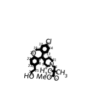 COC(=O)C(C)(C)CN1CCC(=C2c3ccc(Cl)cc3COc3ccc(CCO)cc32)CC1